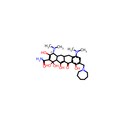 CN(C)c1cc(CN2CCCCCC2)c(O)c2c1CC1CC3C(C(O)=C1C2=O)C(O)(O)C(C(N)=O)=C(O)[C@H]3N(C)C